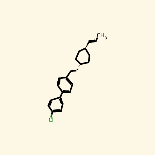 C/C=C/[C@H]1CC[C@H](CCc2ccc(-c3ccc(Cl)cc3)cc2)CC1